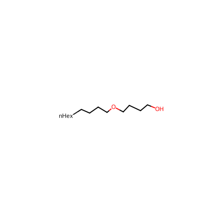 CCCCCCCCCCOCCCCO